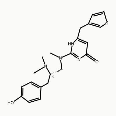 CN(C[C@H](Cc1ccc(O)cc1)N(C)C)c1nc(=O)cc(Cc2ccsc2)[nH]1